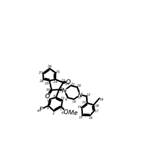 COc1cc(F)cc(C2(N3CCN(Cc4ccccc4C)CC3)C(=O)c3ccccc3C2=O)c1